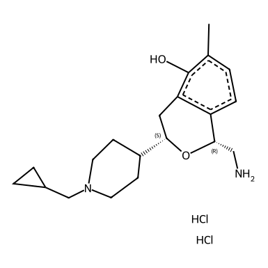 Cc1ccc2c(c1O)C[C@@H](C1CCN(CC3CC3)CC1)O[C@H]2CN.Cl.Cl